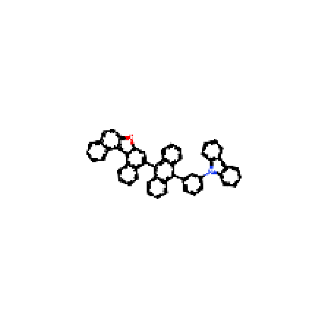 c1cc(-c2c3ccccc3c(-c3cc4oc5ccc6ccccc6c5c4c4ccccc34)c3ccccc23)cc(-n2c3ccccc3c3ccccc32)c1